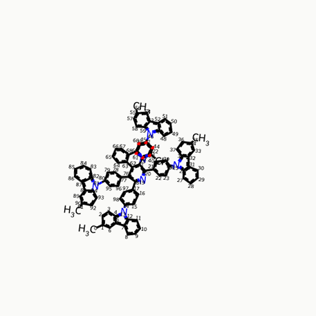 Cc1ccc2c(c1)c1ccccc1n2-c1ccc(-c2nc(-c3ccc(-n4c5ccccc5c5cc(C)ccc54)cc3)c(-c3ccc(-n4c5ccccc5c5cc(C)ccc54)cc3)c(-c3ccccc3-c3cccc(C)n3)c2-c2ccc(-n3c4ccccc4c4cc(C)ccc43)cc2)cc1